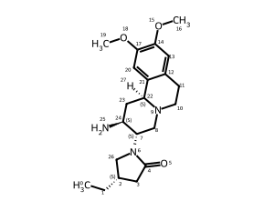 CC[C@H]1CC(=O)N([C@H]2CN3CCc4cc(OC)c(OC)cc4[C@@H]3C[C@@H]2N)C1